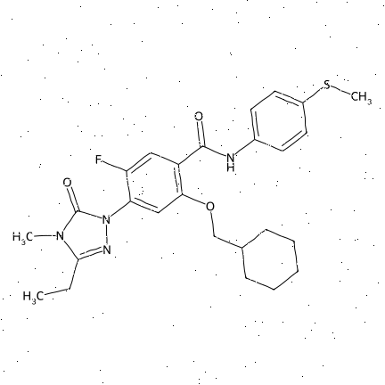 CCc1nn(-c2cc(OCC3CCCCC3)c(C(=O)Nc3ccc(SC)cc3)cc2F)c(=O)n1C